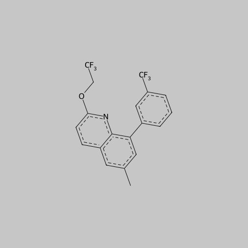 Cc1cc(-c2cccc(C(F)(F)F)c2)c2nc(OCC(F)(F)F)ccc2c1